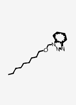 CCCCCCCCCOCn1nnc2ccccc21